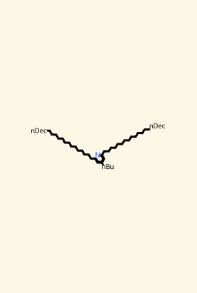 [CH2]CCCc1cc(CCCCCCCCCCCCCCCCCCCCCCCC)nc(CCCCCCCCCCCCCCCCCCCCCCCC)c1